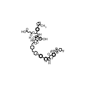 Cc1ncsc1-c1ccc(C(COC(=O)CCC(=O)O)NC(=O)[C@@H]2C[C@@H](O)CN2C(=O)C(NC(=O)CN2CCC(CN3CCN(c4ccc(-c5cnc6[nH]cc(C(=O)c7c(F)ccc(NS(=O)(=O)N8CC[C@@H](F)C8)c7F)c6c5)cc4)CC3)CC2)C(C)(C)C)cc1